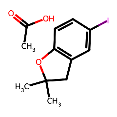 CC(=O)O.CC1(C)Cc2cc(I)ccc2O1